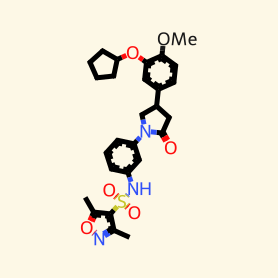 COc1ccc(C2CC(=O)N(c3cccc(NS(=O)(=O)c4c(C)noc4C)c3)C2)cc1OC1CCCC1